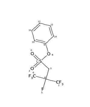 O=S(=O)(CC(F)(C(F)(F)F)C(F)(F)F)Oc1ccccc1